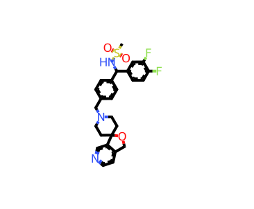 CS(=O)(=O)NC(c1ccc(CN2CCC3(CC2)OCc2ccncc23)cc1)c1ccc(F)c(F)c1